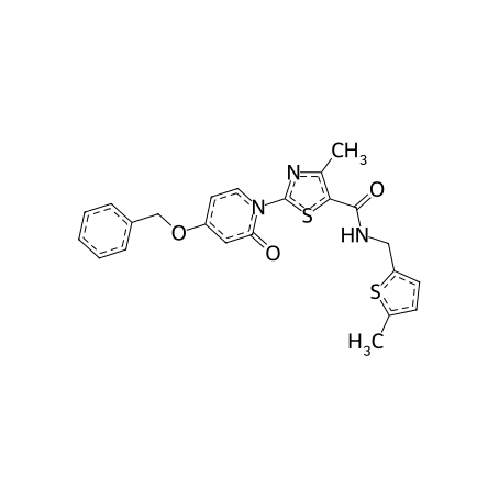 Cc1ccc(CNC(=O)c2sc(-n3ccc(OCc4ccccc4)cc3=O)nc2C)s1